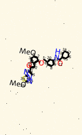 COc1cc(OCc2cccc(NC(=O)C3CCCCC3)c2)c2cc(-c3cn4nc(OC)sc4n3)oc2c1